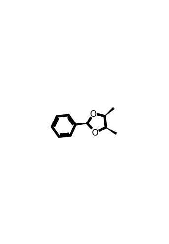 C[C@@H]1O[C@H](c2ccccc2)O[C@@H]1C